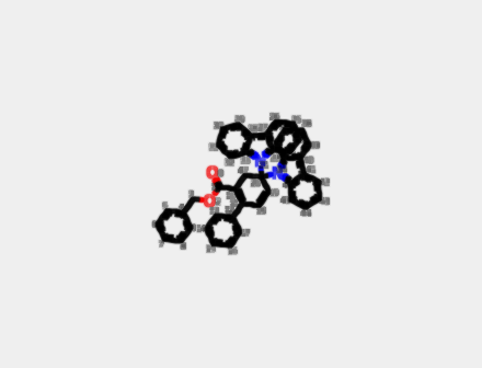 O=C(OCc1ccccc1)C1=C(c2ccccc2)C=CC(n2c3ccccc3c3ccccc32)(n2c3ccccc3c3ccccc32)C1